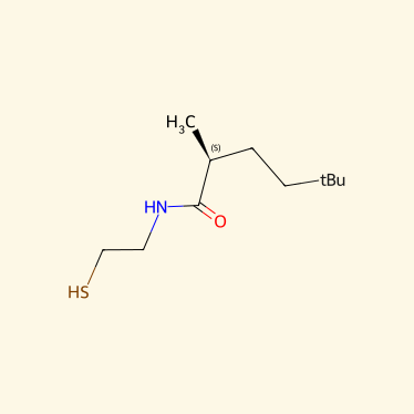 C[C@@H](CCC(C)(C)C)C(=O)NCCS